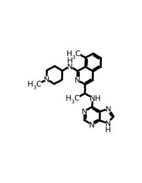 Cc1cccc2cc(C(C)Nc3ncnc4[nH]cnc34)nc(NC3CCN(C)CC3)c12